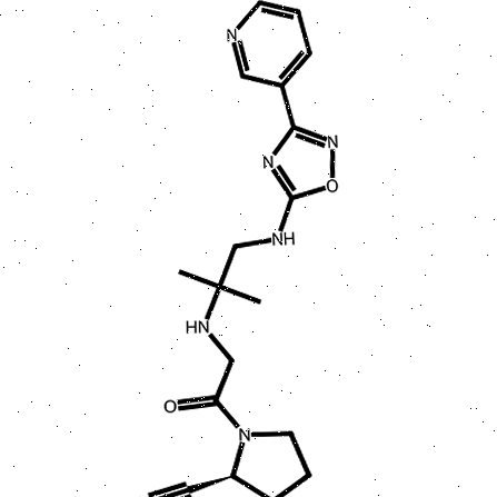 CC(C)(CNc1nc(-c2cccnc2)no1)NCC(=O)N1CCC[C@H]1C#N